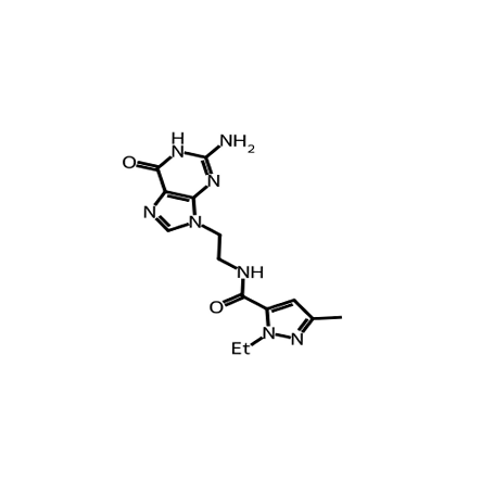 CCn1nc(C)cc1C(=O)NCCn1cnc2c(=O)[nH]c(N)nc21